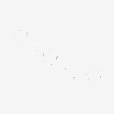 O=C(Nc1ccncc1)c1ccc(OCc2ccc3ccccc3n2)cc1